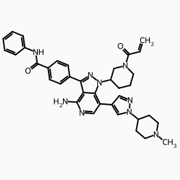 C=CC(=O)N1CCCC(n2nc(-c3ccc(C(=O)Nc4ccccc4)cc3)c3c(N)ncc(-c4cnn(C5CCN(C)CC5)c4)c32)C1